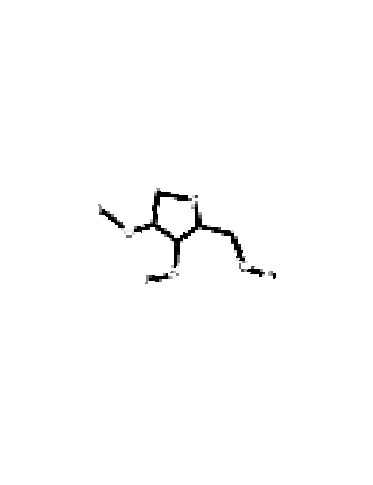 CC(C)OCC1OCC(OI)C1OI